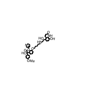 COc1ccc(C(O)(C(=O)OC2CN3CCC2CC3)c2cccc(OCCCCCNCC(O)c3ccc(O)c4[nH]c(=O)ccc34)c2)cc1